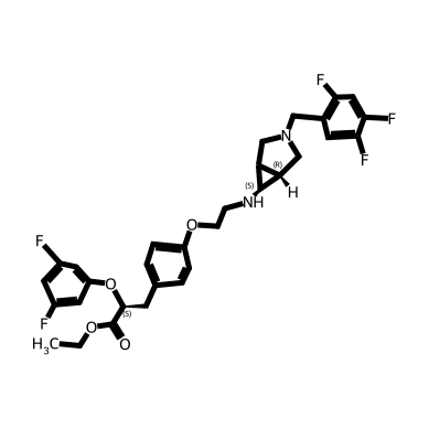 CCOC(=O)[C@H](Cc1ccc(OCCN[C@H]2C3CN(Cc4cc(F)c(F)cc4F)C[C@@H]32)cc1)Oc1cc(F)cc(F)c1